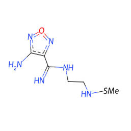 CSNCCNC(=N)c1nonc1N